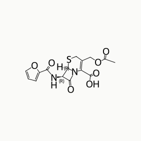 CC(=O)OCC1=C(C(=O)O)N2C(=O)[C@@H](NC(=O)c3ccco3)[C@H]2SC1